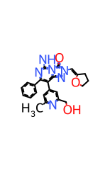 Cc1cc(-c2c(-c3ccccc3)nc(N)n3c(=O)n(C=C4CCCO4)nc23)cc(CO)n1